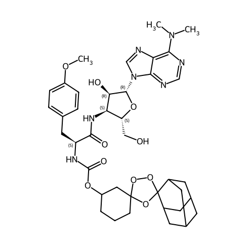 COc1ccc(C[C@H](NC(=O)OC2CCCC3(C2)OOC2(O3)C3CC4CC(C3)CC2C4)C(=O)N[C@H]2[C@@H](O)[C@H](n3cnc4c(N(C)C)ncnc43)O[C@@H]2CO)cc1